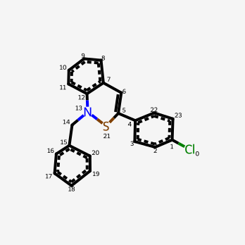 Clc1ccc(C2=Cc3ccccc3N(Cc3ccccc3)S2)cc1